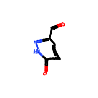 O=[C]c1ccc(=O)[nH]n1